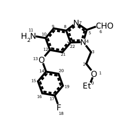 CCOCCn1c(C=O)nc2cc(N)c(Oc3ccc(F)cc3)cc21